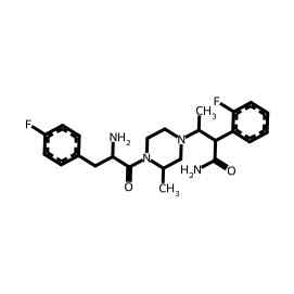 CC(C(C(N)=O)c1ccccc1F)N1CCN(C(=O)C(N)Cc2ccc(F)cc2)C(C)C1